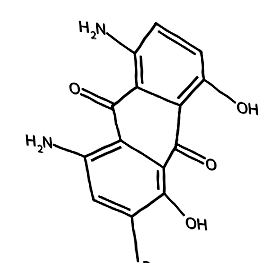 CCCCCc1cc(N)c2c(c1O)C(=O)c1c(O)ccc(N)c1C2=O